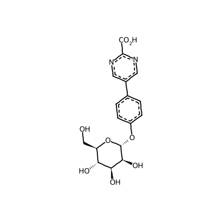 O=C(O)c1ncc(-c2ccc(O[C@H]3O[C@H](CO)[C@@H](O)[C@H](O)[C@@H]3O)cc2)cn1